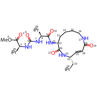 COC(=O)[C@@H](NC(=O)N[C@H](C(=O)N[C@H]1CCCCNC(=O)/C=C/[C@H](CC(C)C)NC1=O)C(C)C)C(C)C